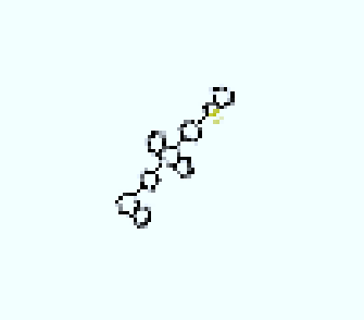 c1ccc2sc(-c3ccc(-c4c5ccccc5c(-c5ccc(-c6cccc7ccccc67)cc5)c5ccccc45)cc3)cc2c1